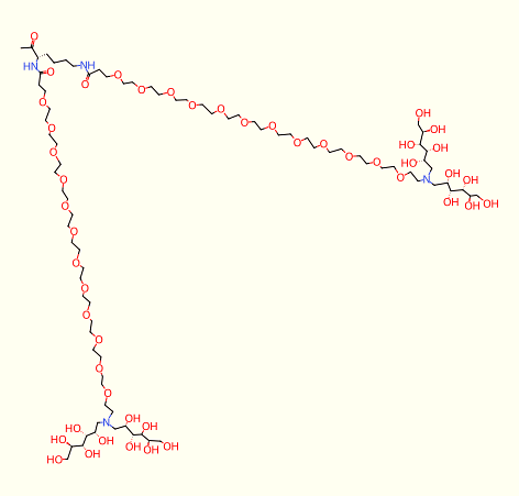 CC(=O)[C@H](CCCCNC(=O)CCOCCOCCOCCOCCOCCOCCOCCOCCOCCOCCOCCOCCN(C[C@H](O)[C@@H](O)[C@H](O)[C@H](O)CO)C[C@H](O)[C@@H](O)[C@H](O)[C@H](O)CO)NC(=O)CCOCCOCCOCCOCCOCCOCCOCCOCCOCCOCCOCCOCCN(C[C@H](O)[C@@H](O)[C@H](O)[C@H](O)CO)C[C@H](O)[C@@H](O)C(O)[C@H](O)CO